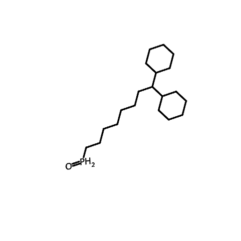 O=[PH2]CCCCCCCC(C1CCCCC1)C1CCCCC1